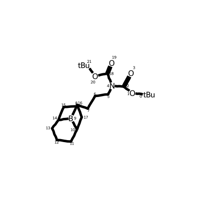 CC(C)(C)OC(=O)N(CCCCB1C2CCCC1CCC2)C(=O)OC(C)(C)C